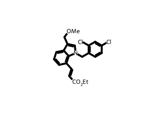 CCOC(=O)C=Cc1cccc2c(COC)cn(Cc3ccc(Cl)cc3Cl)c12